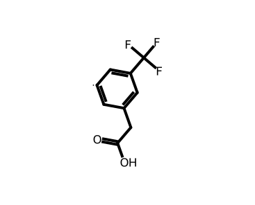 O=C(O)Cc1c[c]cc(C(F)(F)F)c1